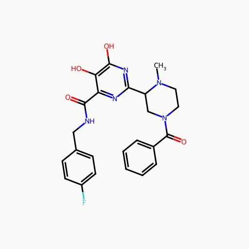 CN1CCN(C(=O)c2ccccc2)CC1c1nc(O)c(O)c(C(=O)NCc2ccc(F)cc2)n1